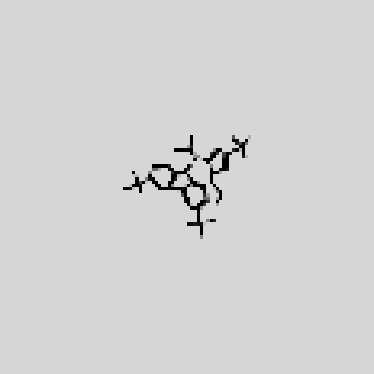 CCCC1C=C(C(C)(C)C)C=[C]1[Zr](=[C](C)C)[CH]1c2ccc(C(C)(C)C)cc2-c2cc(C(C)(C)C)ccc21